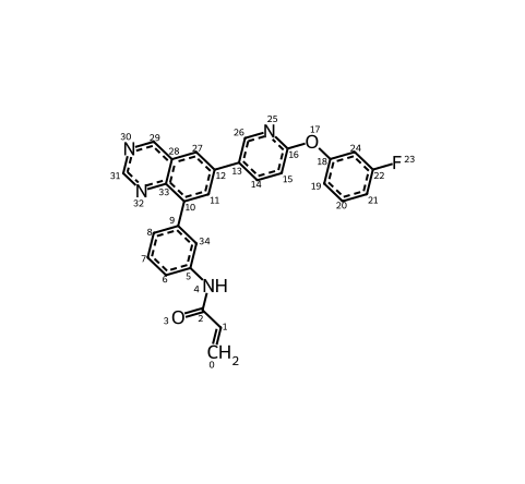 C=CC(=O)Nc1cccc(-c2cc(-c3ccc(Oc4cccc(F)c4)nc3)cc3cncnc23)c1